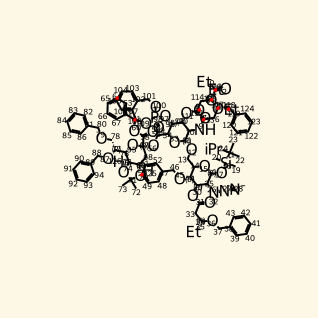 CCC(=O)O[C@H](CC)CC(=O)NC1[C@H](OCC2O[C@@H](O[Si](C)(C)C(C)(C)C(C)C)C(N=[N+]=[N-])[C@@H](OC(=O)C[C@@H](CC)OCc3ccccc3)[C@@H]2OCc2ccccc2)OC(CO[C@]2(C(=O)OCc3ccccc3)C[C@H]3OC(C)(C)O[C@H]3C([C@@H](COCc3ccccc3)OCc3ccccc3)O2)[C@@H](OP2(=O)OCc3ccccc3CO2)[C@@H]1OC(=O)C[C@@H](CC)OCc1ccccc1